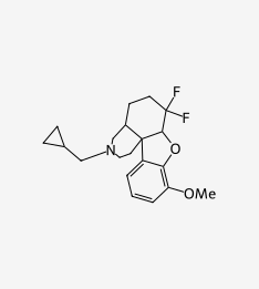 COc1cccc2c1OC1C(F)(F)CCC3CN(CC4CC4)CCC231